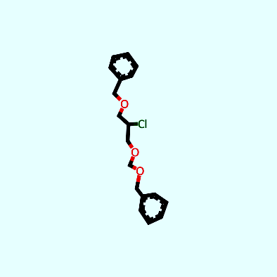 ClC(COCOCc1ccccc1)COCc1ccccc1